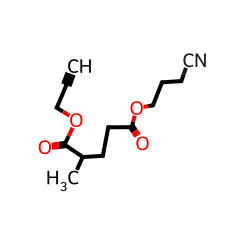 C#CCOC(=O)C(C)CCC(=O)OCCCC#N